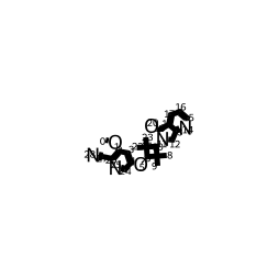 COc1cc(O[C@H]2C(C)(C)[C@H](N3Cc4ncccc4C3=O)C2(C)C)cnc1C#N